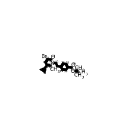 Cc1c(C2CC2)cc(Br)c(=O)n1CCc1ccc(C(=O)OC(C)(C)C)cc1